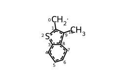 [CH2]c1sc2ccccc2c1C